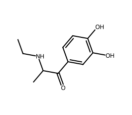 CCNC(C)C(=O)c1ccc(O)c(O)c1